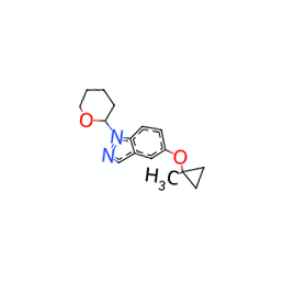 CC1(Oc2ccc3c(cnn3C3CCCCO3)c2)CC1